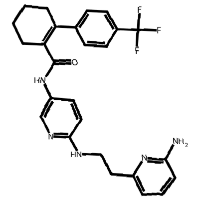 Nc1cccc(CCNc2ccc(NC(=O)C3=C(c4ccc(C(F)(F)F)cc4)CCCC3)cn2)n1